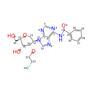 O=C(Nc1ncnc2c1ncn2[C@@H]1CO[C@H](CO)[C@@H](O)[C@H]1OCCF)c1ccccc1